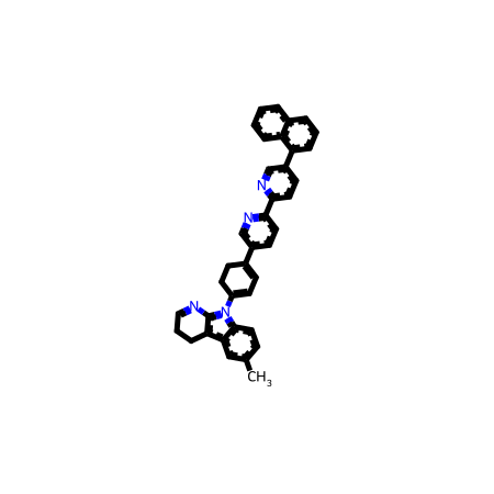 Cc1ccc2c(c1)c1c(n2C2=CC=C(c3ccc(-c4ccc(-c5cccc6ccccc56)cn4)nc3)CC2)N=CCC1